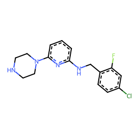 Fc1cc(Cl)ccc1CNc1cccc(N2CCNCC2)n1